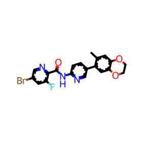 Cc1cc2c(cc1-c1ccc(NC(=O)c3ncc(Br)cc3F)nc1)OCCO2